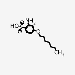 CCCCCCCOc1ccc(S(=O)(=O)O)c(N)c1